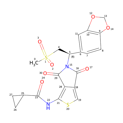 CS(=O)(=O)C[C@@H](c1ccc2c(c1)OCO2)N1C(=O)c2csc(NC(=O)C3CC3)c2C1=O